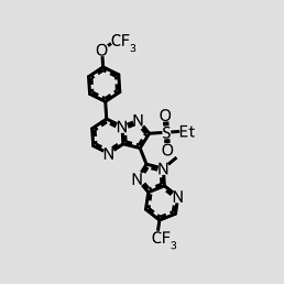 CCS(=O)(=O)c1nn2c(-c3ccc(OC(F)(F)F)cc3)ccnc2c1-c1nc2cc(C(F)(F)F)cnc2n1C